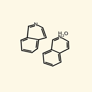 O.c1ccc2cnccc2c1.c1ccc2cnccc2c1